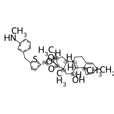 C=C1C=C[C@@]2(C)C(=C1)CC[C@@H]1[C@@H]2[C@@H](O)C[C@@]2(C)[C@H]1C[C@H]1O[C@@H](c3ccc(Cc4cccc(NC)c4)s3)O[C@]12C(=O)CC